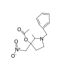 CC(=O)OC1(C[N+](=O)[O-])CCN(Cc2ccccc2)C1C